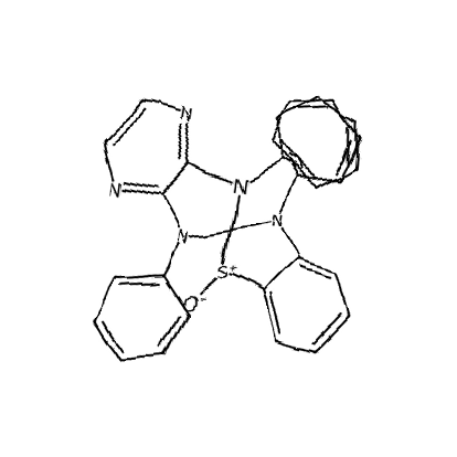 [O-][S+]1c2ccccc2N(c2ccccc2)C12N(C1=CC=CCC1)c1nccnc1N2c1ccccc1